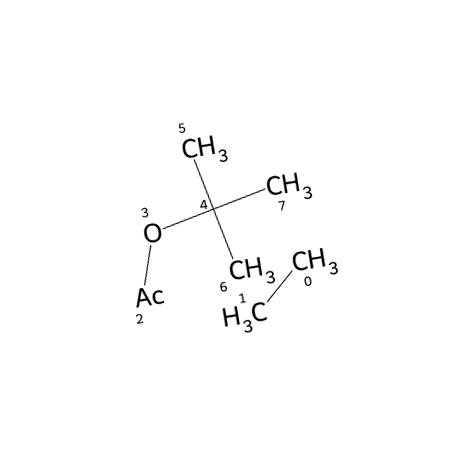 CC.CC(=O)OC(C)(C)C